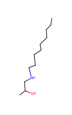 CCCCCCCCCNCC(C)O